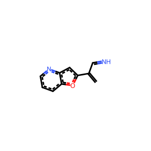 C=C(C=N)c1cc2ncccc2o1